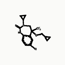 O=C1Nc2ccc(Cl)cc2C(OCC2CC2)(C(F)(F)F)CN1C1CC1